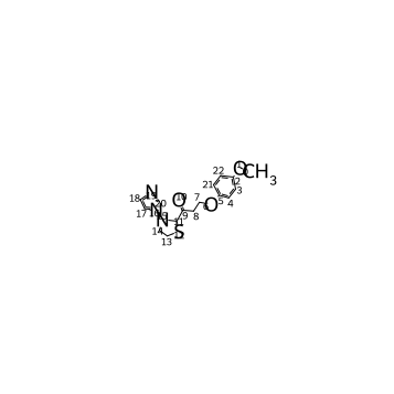 COc1ccc(OCCC(=O)C2SCCN2n2ccnc2)cc1